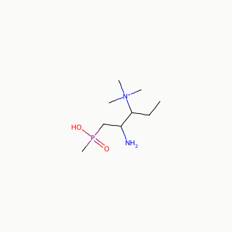 CCC(C(N)CP(C)(=O)O)[N+](C)(C)C